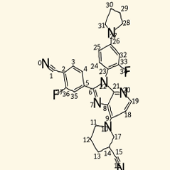 N#Cc1ccc(-c2nc3c(N4CCCC(C#N)C4)ccnc3n2-c2ccc(N3CCCC3)cc2F)cc1F